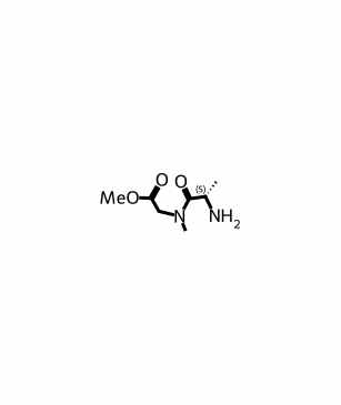 COC(=O)CN(C)C(=O)[C@H](C)N